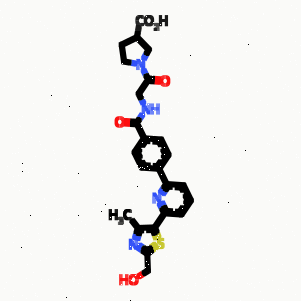 Cc1nc(CO)sc1-c1cccc(-c2ccc(C(=O)NCC(=O)N3CCC(C(=O)O)C3)cc2)n1